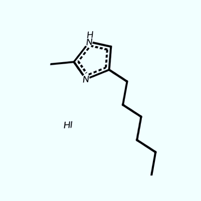 CCCCCCc1c[nH]c(C)n1.I